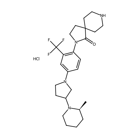 C[C@H]1CCCCN1C1CCN(c2ccc(N3CCC4(CCNCC4)C3=O)c(C(F)(F)F)c2)C1.Cl